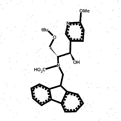 COc1ccc([C@@H](O)[C@@H](COC(C)(C)C)N(CC2c3ccccc3-c3ccccc32)C(=O)O)cn1